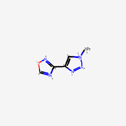 CCCn1cc(-c2ncon2)nn1